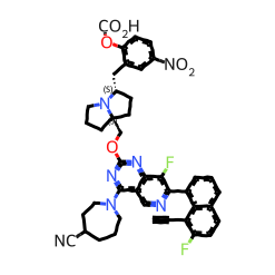 C#Cc1c(F)ccc2cccc(-c3ncc4c(N5CCCC(C#N)CC5)nc(OC[C@@]56CCCN5[C@H](Cc5cc([N+](=O)[O-])ccc5OC(=O)O)CC6)nc4c3F)c12